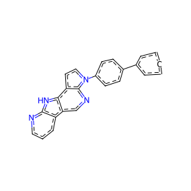 c1ccc(-c2ccc(-n3ccc4c5[nH]c6ncccc6c5cnc43)cc2)cc1